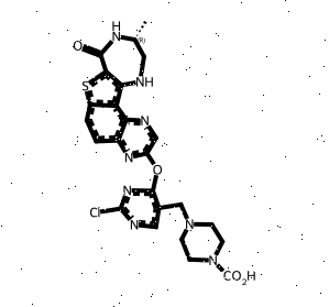 C[C@@H]1CNc2c(sc3ccc4nc(Oc5nc(Cl)ncc5CN5CCN(C(=O)O)CC5)cnc4c23)C(=O)N1